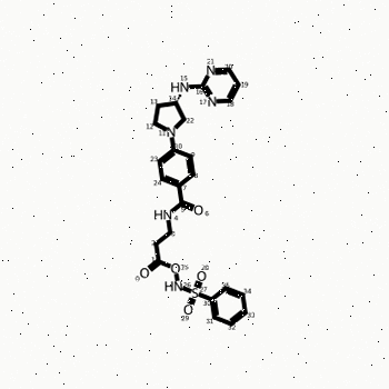 O=C(CCNC(=O)c1ccc(N2CC[C@H](Nc3ncccn3)C2)cc1)ONS(=O)(=O)c1ccccc1